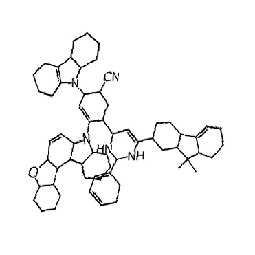 CC1(C)C2CCCC=C2C2CCC(C3=CC(C4CC(C#N)C(N5C6=C(CCCC6)C6CCCCC65)C=C4N4C5C=CC6OC7CCCCC7C6C5C5CCCCC54)NC(C4=CC=CCC4)N3)CC21